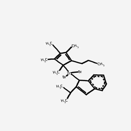 CCCC1=C(C)C(C)=C(C)[C]1(C)[Zr]([Br])([Br])[CH]1C(C(C)C)=Cc2ccccc21